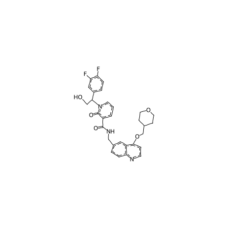 O=C(NCc1ccc2nccc(OCC3CCOCC3)c2c1)c1cccn(C(CO)c2ccc(F)c(F)c2)c1=O